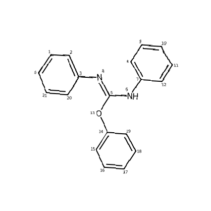 c1ccc(/N=C(/Nc2ccccc2)Oc2ccccc2)cc1